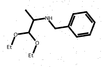 CCOC(OCC)C(C)NCc1ccccc1